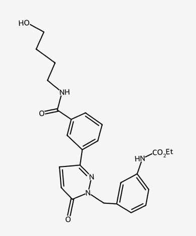 CCOC(=O)Nc1cccc(Cn2nc(-c3cccc(C(=O)NCCCCO)c3)ccc2=O)c1